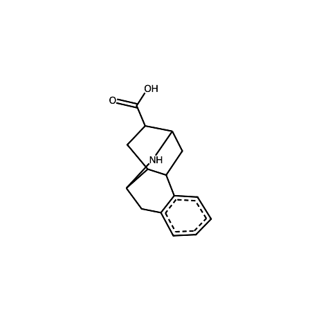 O=C(O)C1CC2C3Cc4ccccc4C2CC1N3